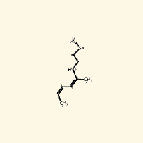 C/C=C\C=C(\C)NCCSS